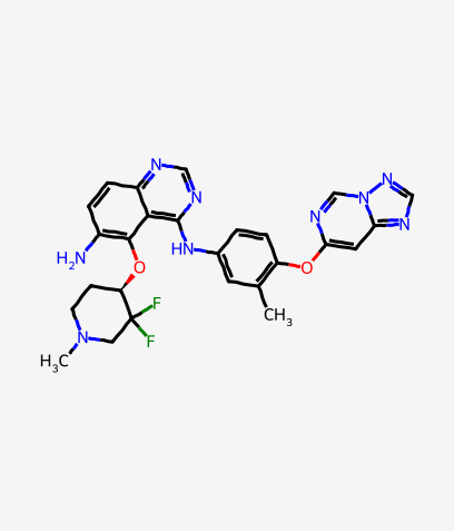 Cc1cc(Nc2ncnc3ccc(N)c(O[C@@H]4CCN(C)CC4(F)F)c23)ccc1Oc1cc2ncnn2cn1